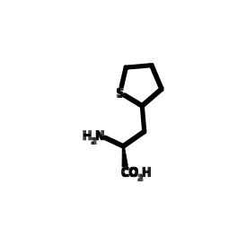 N[C@@H](CC1CCCS1)C(=O)O